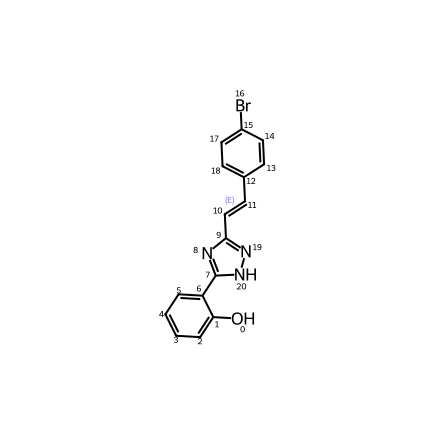 Oc1ccccc1-c1nc(/C=C/c2ccc(Br)cc2)n[nH]1